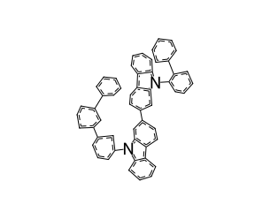 c1ccc(-c2cccc(-c3cccc(-n4c5ccccc5c5ccc(-c6ccc7c8ccccc8n(-c8ccccc8-c8ccccc8)c7c6)cc54)c3)c2)cc1